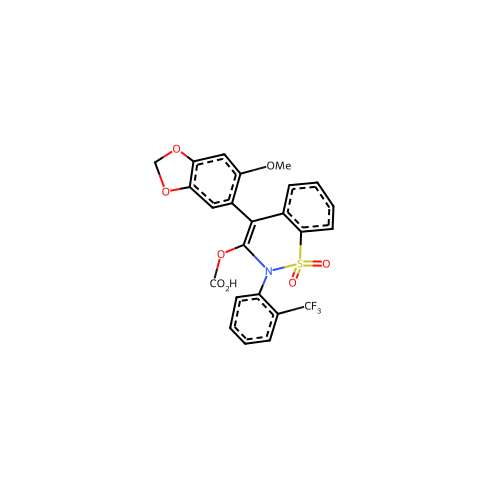 COc1cc2c(cc1C1=C(OC(=O)O)N(c3ccccc3C(F)(F)F)S(=O)(=O)c3ccccc31)OCO2